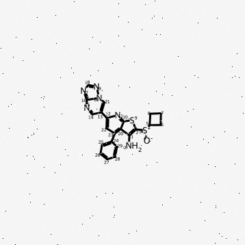 Nc1c([S@@+]([O-])C2CCC2)sc2nc(-c3cnc4ncnn4c3)cc(-c3ccccc3)c12